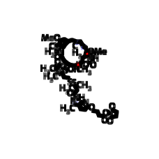 COc1cc2cc(c1Cl)N(C)C(=O)C[C@H](OC(=O)[C@H](C)N(C)C(=O)CCSSC(C)(C)CC(=O)N/N=C(/C)c1ccc(OCCCC(=O)ON3C(=O)CCC3=O)nc1)C(C)(O)C[C@H](C)[C@@H]1C[C@@](O)(NC(=O)O1)[C@H](OC)/C=C/C=C(\C)C2